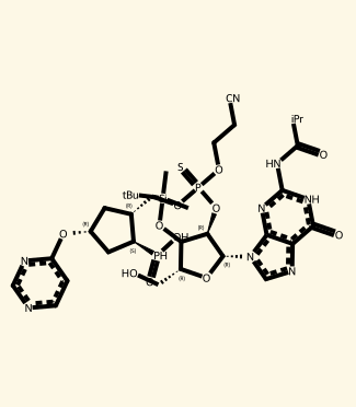 CC(C)C(=O)Nc1nc2c(ncn2[C@@H]2O[C@H](CO)C(O[Si](C)(C)C(C)(C)C)[C@H]2OP(=S)(OCCC#N)OC[C@H]2C[C@@H](Oc3ccncn3)C[C@@H]2[PH](=O)O)c(=O)[nH]1